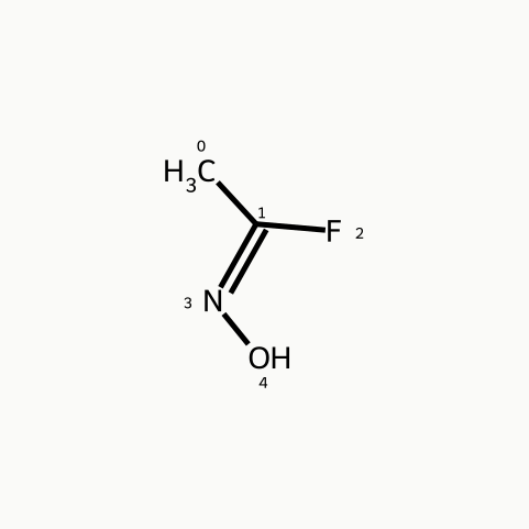 CC(F)=NO